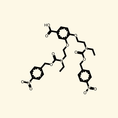 CCN(CCOc1ccc(C(=O)O)cc1OCCN(CC)C(=O)OCc1ccc([N+](=O)[O-])cc1)C(=O)OCc1ccc([N+](=O)[O-])cc1